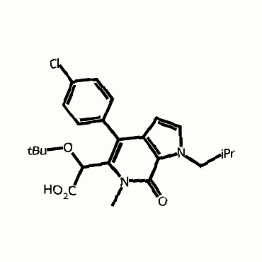 CC(C)Cn1ccc2c(-c3ccc(Cl)cc3)c(C(OC(C)(C)C)C(=O)O)n(C)c(=O)c21